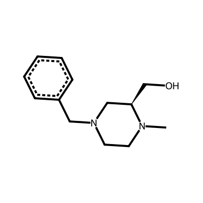 CN1CCN(Cc2ccccc2)C[C@H]1CO